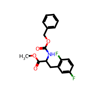 COC(=O)C(Cc1cc(F)ccc1F)NC(=O)OCc1ccccc1